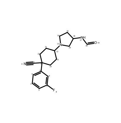 N#CC1(c2cccc(F)c2)CCC(N2CCC(NC=O)C2)CC1